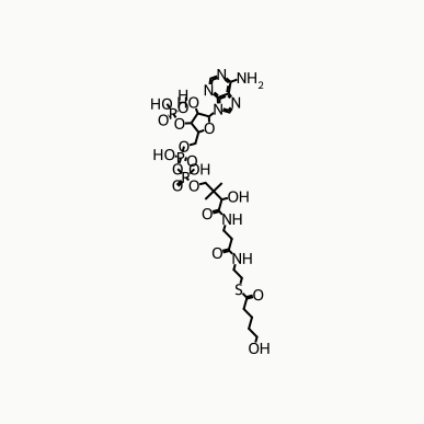 CC(C)(COP(=O)(O)OP(=O)(O)OCC1OC(n2cnc3c(N)ncnc32)C(O)C1OP(=O)(O)O)C(O)C(=O)NCCC(=O)NCCSC(=O)CCCCO